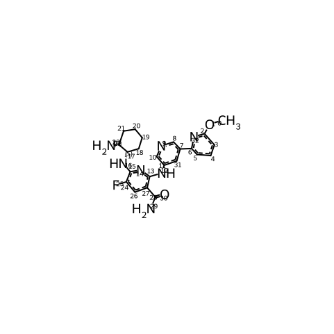 COc1cccc(-c2cncc(Nc3nc(N[C@H]4CCCC[C@H]4N)c(F)cc3C(N)=O)c2)n1